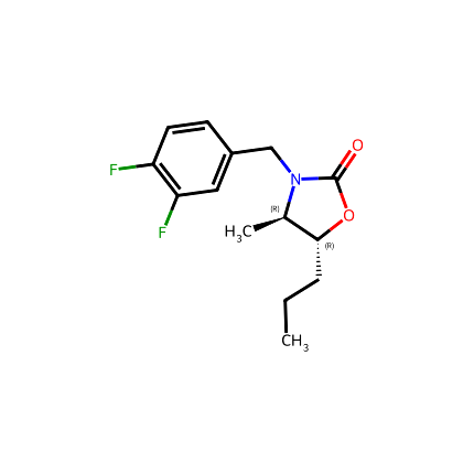 CCC[C@H]1OC(=O)N(Cc2ccc(F)c(F)c2)[C@@H]1C